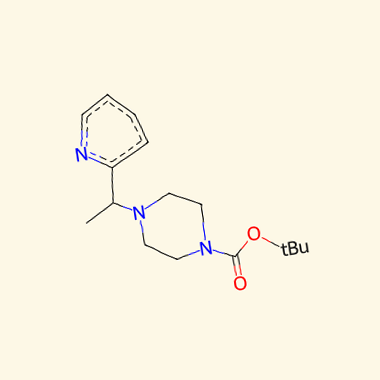 CC(c1ccccn1)N1CCN(C(=O)OC(C)(C)C)CC1